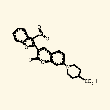 O=C(O)C1CCN(c2ccc3cc(-c4oc5ccccc5c4[SH](=O)=O)c(=O)oc3c2)CC1